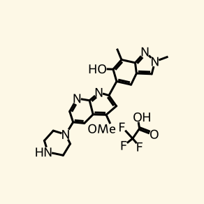 COc1cc(-c2cc3cn(C)nc3c(C)c2O)nc2ncc(N3CCNCC3)cc12.O=C(O)C(F)(F)F